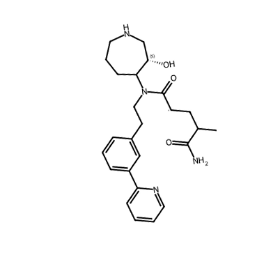 CC(C[CH]C(=O)N(CCc1cccc(-c2ccccn2)c1)C1CCCNC[C@@H]1O)C(N)=O